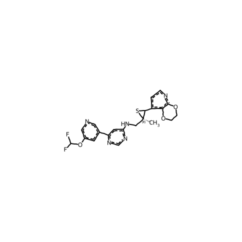 C[C@]1(CNc2cc(-c3cncc(OC(F)F)c3)ncn2)SC1c1ccnc2c1OCCO2